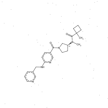 CN(C(=O)C1(C)CCC1)[C@H]1CCN(C(=O)c2ccc(NCc3cccnc3)nc2)C1